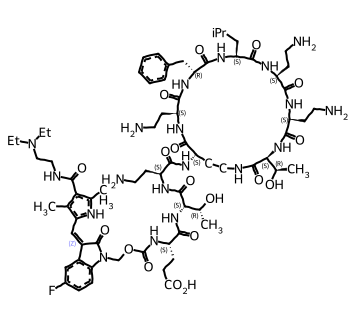 CCN(CC)CCNC(=O)c1c(C)[nH]c(/C=C2\C(=O)N(COC(=O)N[C@@H](CCC(=O)O)C(=O)N[C@H](C(=O)N[C@@H](CCN)C(=O)N[C@H]3CCNC(=O)[C@H]([C@@H](C)O)NC(=O)[C@H](CCN)NC(=O)[C@H](CCN)NC(=O)[C@H](CC(C)C)NC(=O)[C@@H](Cc4ccccc4)NC(=O)[C@H](CCN)NC3=O)[C@@H](C)O)c3ccc(F)cc32)c1C